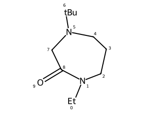 CCN1CCCN(C(C)(C)C)CC1=O